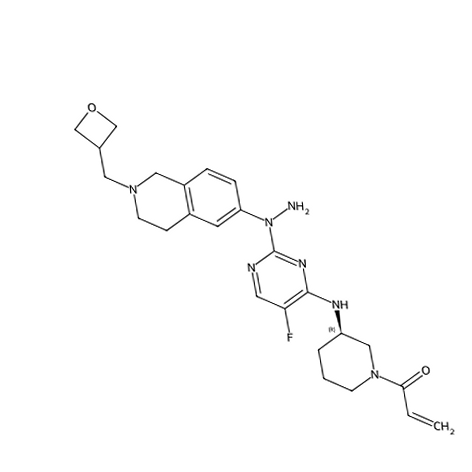 C=CC(=O)N1CCC[C@@H](Nc2nc(N(N)c3ccc4c(c3)CCN(CC3COC3)C4)ncc2F)C1